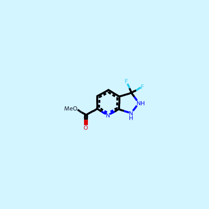 COC(=O)c1ccc2c(n1)NNC2(F)F